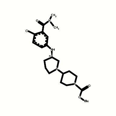 CN(C)C(=O)c1cc(N[C@@H]2CCCN(C3CCN(C(=O)OC(C)(C)C)CC3)C2)ccc1Cl